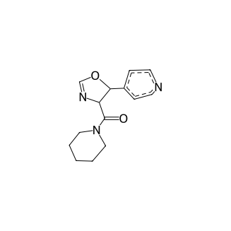 O=C(C1N=COC1c1ccncc1)N1CCCCC1